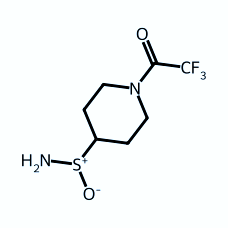 N[S+]([O-])C1CCN(C(=O)C(F)(F)F)CC1